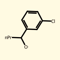 CCCC([O])c1cccc(Cl)c1